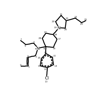 CC=CCN(CCC)C1(c2ccc(Cl)cc2)CCC(N2CCC(CCC)C2)CC1